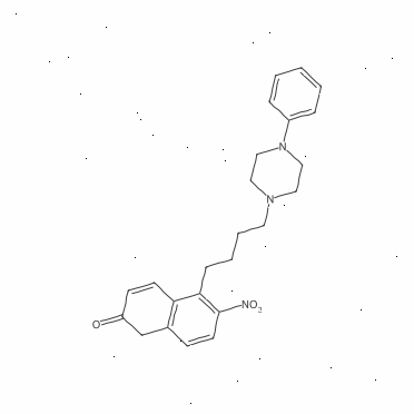 O=C1C=Cc2c(ccc([N+](=O)[O-])c2CCCCN2CCN(c3ccccc3)CC2)C1